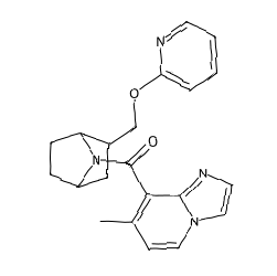 Cc1ccn2ccnc2c1C(=O)N1C2CCC1C(COc1ccccn1)C2